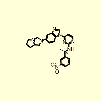 C[C@H](Nc1nccc(-n2cnc3cc(N4CC5CCCN5C4)ccc32)n1)c1cccc([N+](=O)[O-])c1